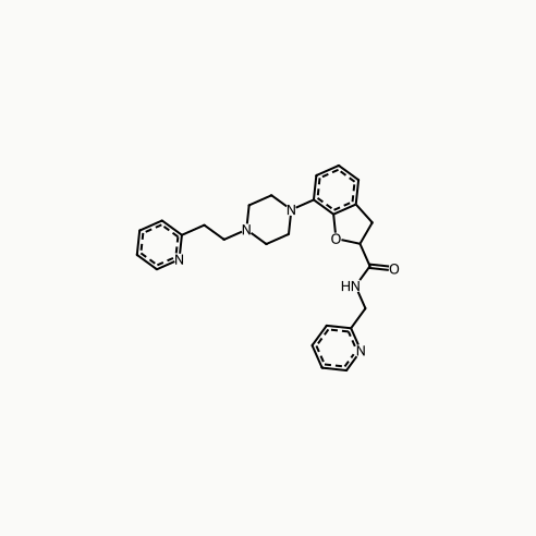 O=C(NCc1ccccn1)C1Cc2cccc(N3CCN(CCc4ccccn4)CC3)c2O1